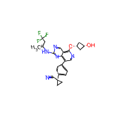 C[C@@H](CC(F)(F)F)Nc1ncc2c(O[C@H]3C[C@@H](O)C3)ncc(-c3ccc(C4(C#N)CC4)cc3)c2n1